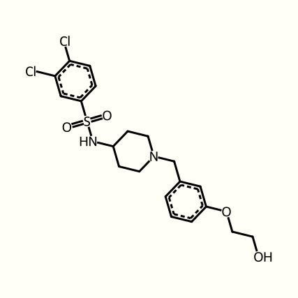 O=S(=O)(NC1CCN(Cc2cccc(OCCO)c2)CC1)c1ccc(Cl)c(Cl)c1